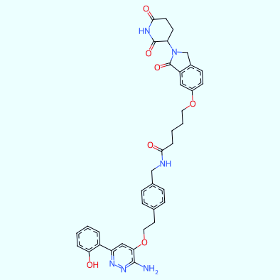 Nc1nnc(-c2ccccc2O)cc1OCCc1ccc(CNC(=O)CCCCOc2ccc3c(c2)C(=O)N(C2CCC(=O)NC2=O)C3)cc1